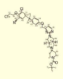 CC(C)(C)OC(=O)N1CCC(N2C[C@H]3CN(c4nccc(COc5ccc(C(C)(C)c6cc(Cl)c(OCCCl)c(C#N)c6)cc5)n4)C[C@H]3C2)CC1